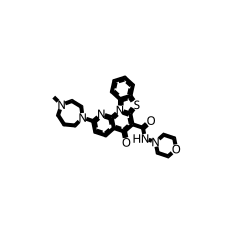 CN1CCCN(c2ccc3c(=O)c(C(=O)NN4CCOCC4)c4sc5ccccc5n4c3n2)CC1